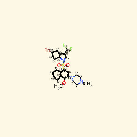 COc1c(N2CCN(C)CC2)cc(S(=O)(=O)n2cc(C(F)F)c3cc(Br)ccc32)c2ccccc12